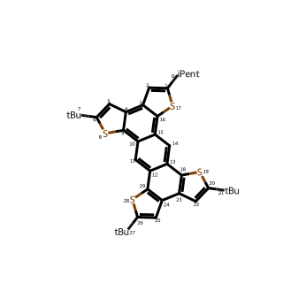 CCCC(C)c1cc2c3cc(C(C)(C)C)sc3c3cc4c(cc3c2s1)c1sc(C(C)(C)C)cc1c1cc(C(C)(C)C)sc14